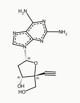 C#C[C@]1(CO)O[C@@H](n2cnc3c(N)nc(N)nc32)C[C@H]1O